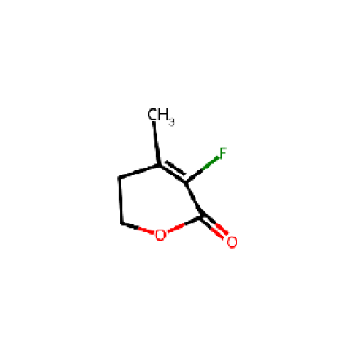 CC1=C(F)C(=O)OCC1